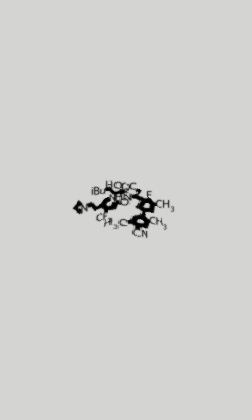 CCC(C)CC(C(=O)N[C@@H](CC(=O)O)c1cc(-c2cc(C)c(C#N)cc2C)cc(C)c1F)n1cc(CCN2CCC2)c(C(F)(F)F)cc1=O